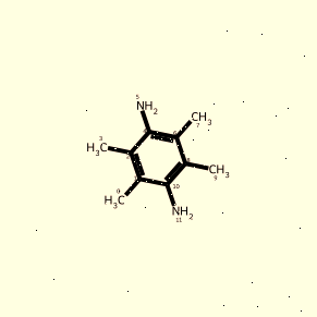 Cc1c(C)c(N)c(C)c(C)c1N